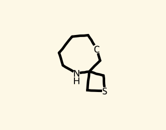 C1CCCC2(CSC2)NCC1